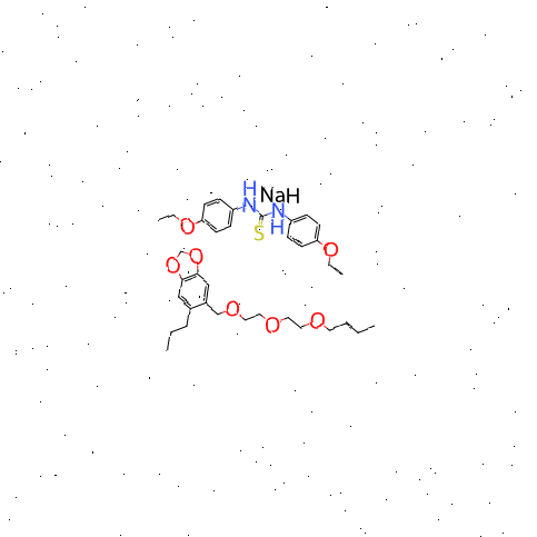 CCCCOCCOCCOCc1cc2c(cc1CCC)OCO2.CCOc1ccc(NC(=S)Nc2ccc(OCC)cc2)cc1.[NaH]